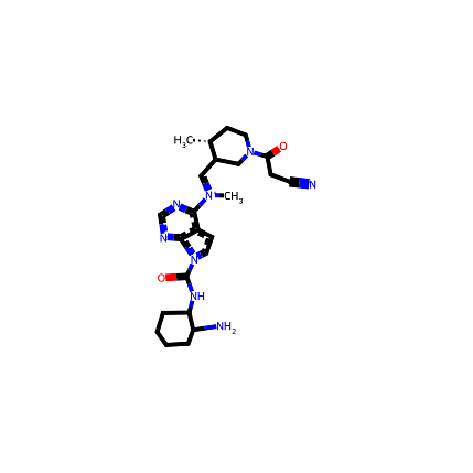 C[C@@H]1CCN(C(=O)CC#N)CC1/C=[N+](\C)c1ncnc2c1ccn2C(=O)NC1CCCCC1N